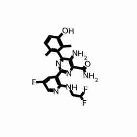 Cc1ccc(O)c(C)c1-c1nc(-c2cc(F)cnc2NCC(F)F)nc(C(N)=O)c1N